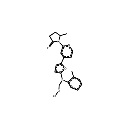 CCOCN(c1ncc(-c2ccnc(N3C(=O)CCC3C)c2)o1)c1ccccc1C